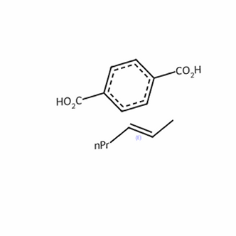 C/C=C/CCC.O=C(O)c1ccc(C(=O)O)cc1